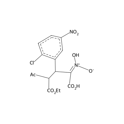 CCOC(=O)C(C(C)=O)C(C(C(=O)O)=[N+]([O-])O)c1cc([N+](=O)[O-])ccc1Cl